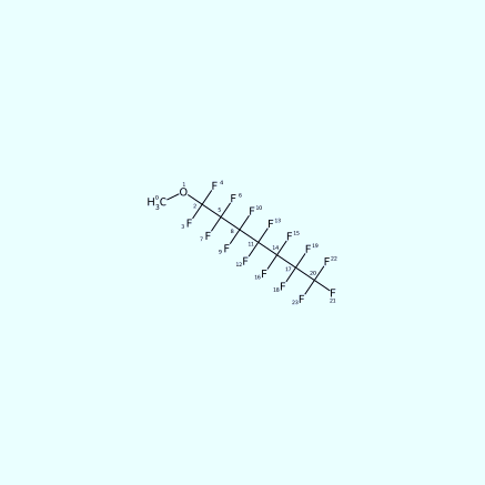 COC(F)(F)C(F)(F)C(F)(F)C(F)(F)C(F)(F)C(F)(F)C(F)(F)F